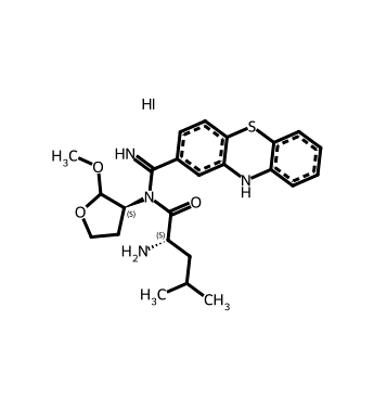 COC1OCC[C@@H]1N(C(=N)c1ccc2c(c1)Nc1ccccc1S2)C(=O)[C@@H](N)CC(C)C.I